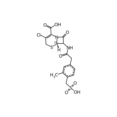 Cc1cc(CC(=O)NC2C(=O)N3C(C(=O)O)=C(Cl)CS[C@@H]23)ccc1CS(=O)(=O)O